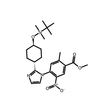 COC(=O)c1cc([N+](=O)[O-])c(-n2ccnc2[C@H]2CC[C@H](O[Si](C)(C)C(C)(C)C)CC2)cc1C